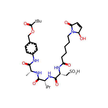 CC(C)[C@@H](NC(=O)[C@@H](CS(=O)(=O)O)NC(=O)CCCCCN1C(=O)C=CC1O)C(=O)N[C@H](C)C(=O)Nc1ccc(COC(=O)C(C)(C)C)cc1